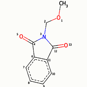 CO[CH]N1C(=O)c2ccccc2C1=O